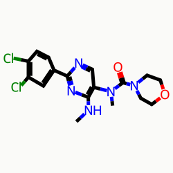 CNc1nc(-c2ccc(Cl)c(Cl)c2)ncc1N(C)C(=O)N1CCOCC1